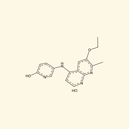 CCOc1cc2c(Nc3ccc(O)nc3)ccnc2nc1C.Cl